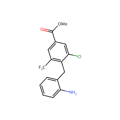 COC(=O)c1cc(Cl)c(Cc2ccccc2N)c(C(F)(F)F)c1